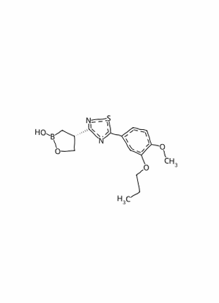 CCCOc1cc(-c2nc([C@@H]3COB(O)C3)ns2)ccc1OC